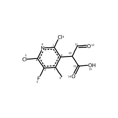 Cc1c(F)c(Cl)nc(Cl)c1C(C=O)C(=O)O